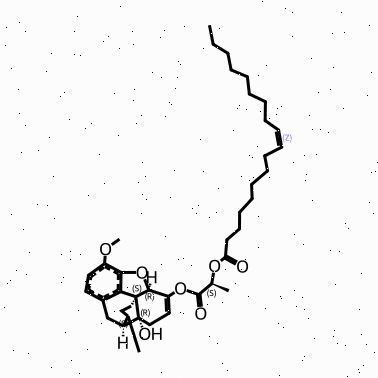 CCCCCCCC/C=C\CCCCCCCC(=O)O[C@@H](C)C(=O)OC1=CC[C@@]2(O)[C@H]3Cc4ccc(OC)c5c4[C@@]2(CCC3C)[C@H]1O5